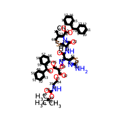 C=CC1=C(C(=O)OC(c2ccccc2)c2ccccc2)N2C(=O)C(NC(=O)/C(=N/OC(C(=O)OCCNC(=O)OC(C)(C)C)C(=O)OC(c3ccccc3)c3ccccc3)c3csc(N)n3)[C@H]2SC1